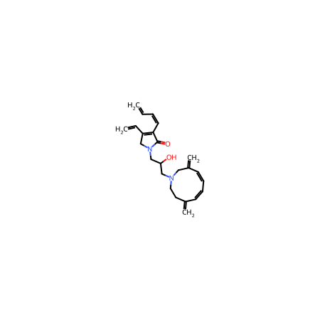 C=C/C=C\C1=C(C=C)CN(CC(O)CN2CCC(=C)/C=C\C=C/C(=C)C2)C1=O